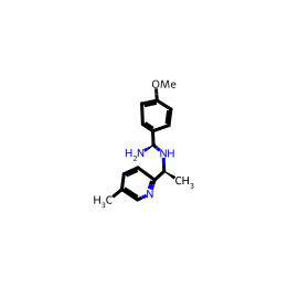 COc1ccc([C@H](N)N[C@@H](C)c2ccc(C)cn2)cc1